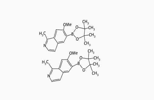 COc1cc2c(C)nccc2cc1B1OC(C)(C)C(C)(C)O1.COc1cc2c(C)nccc2cc1B1OC(C)(C)C(C)(C)O1